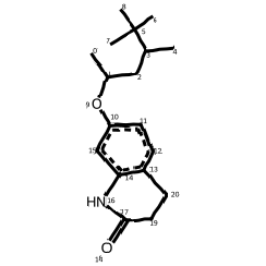 CC(CC(C)C(C)(C)C)Oc1ccc2c(c1)NC(=O)CC2